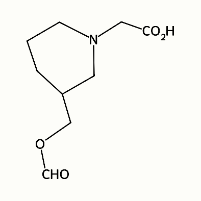 O=COCC1CCCN(CC(=O)O)C1